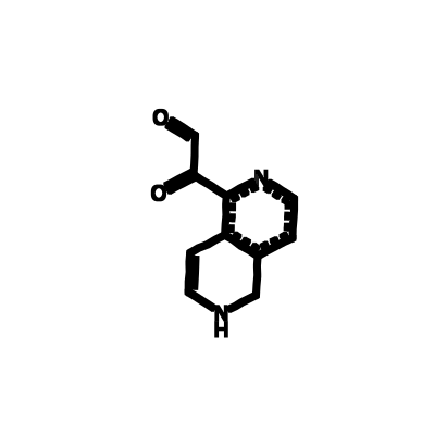 O=CC(=O)c1nccc2c1C=CNC2